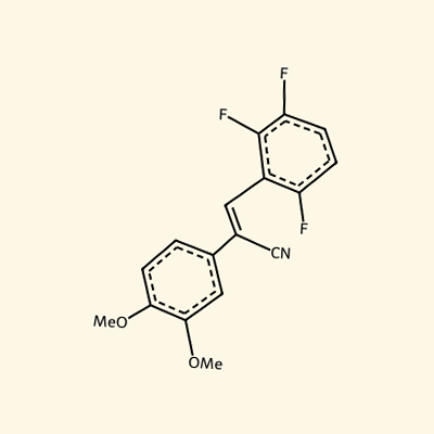 COc1ccc(/C(C#N)=C/c2c(F)ccc(F)c2F)cc1OC